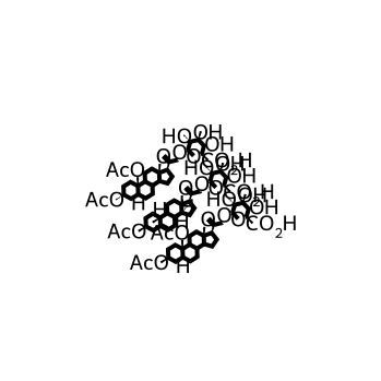 CC(=O)O[C@@H]1CC[C@]2(C)C3C(CC[C@@H]2C1)C1CC[C@H](C(=O)COC2O[C@H](C(=O)O)[C@@H](O)[C@H](O)[C@H]2O)[C@@]1(C)C[C@H]3OC(C)=O.CC(=O)O[C@H]1CC[C@@]2(C)C(=CC[C@H]3[C@@H]4CC[C@H](C(=O)COC5O[C@H](C(=O)O)[C@@H](O)[C@H](O)[C@H]5O)[C@@]4(C)CC[C@@H]32)C1.CC(=O)O[C@H]1CC[C@]2(C)C3C(CC[C@@H]2C1)C1CC[C@H](C(=O)COC2O[C@H](C(=O)O)[C@@H](O)[C@H](O)[C@H]2O)[C@@]1(C)C[C@H]3OC(C)=O